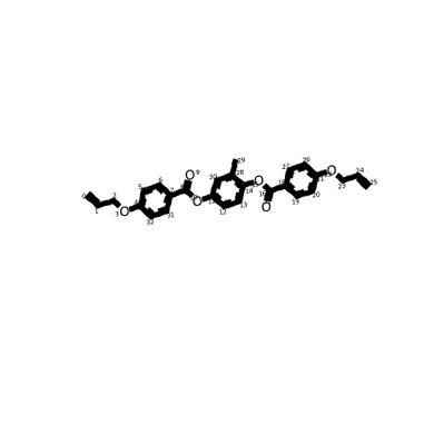 C=CCOc1ccc(C(=O)Oc2ccc(OC(=O)c3ccc(OCC=C)cc3)c(C)c2)cc1